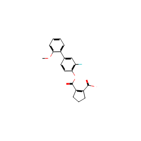 COc1ccccc1-c1ccc(OC(=O)C2=C(C(=O)O)CCC2)c(F)c1